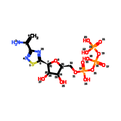 C=C(N)c1nsc([C@@H]2O[C@H](COP(=O)(O)OP(=O)(O)OP(=O)(O)O)[C@@H](O)[C@H]2O)n1